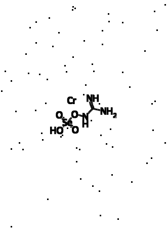 N=C(N)NO[Se](=O)(=O)O.[Cr]